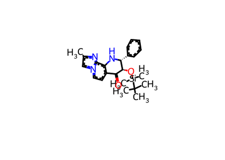 Cc1cn2ccc3c(c2n1)N[C@H](c1ccccc1)[C@@H](O[Si](C)(C)C(C)(C)C)C3=O